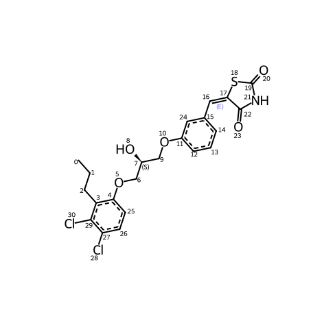 CCCc1c(OC[C@@H](O)COc2cccc(/C=C3/SC(=O)NC3=O)c2)ccc(Cl)c1Cl